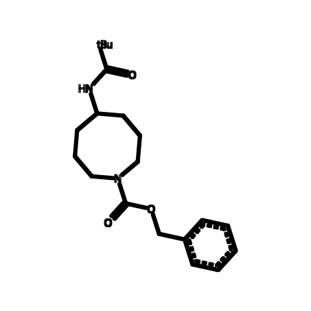 CC(C)(C)C(=O)NC1CCCN(C(=O)OCc2ccccc2)CCC1